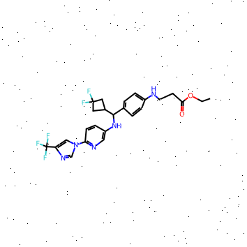 CCOC(=O)CCNc1ccc(C(Nc2ccc(-n3cnc(C(F)(F)F)c3)nc2)C2CC(F)(F)C2)cc1